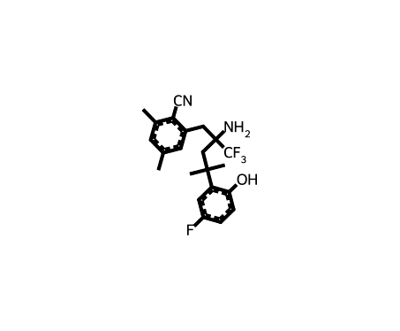 Cc1cc(C)c(C#N)c(CC(N)(CC(C)(C)c2cc(F)ccc2O)C(F)(F)F)c1